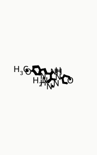 COc1ccc2cc(C(=N)c3c(N)ncnc3NC3CCOCC3)[nH]c2c1